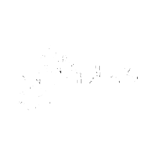 COC(=O)/C=C/CNC(=O)CNC(=O)CN(C(=O)C1CC1)C1CCN([C@H](C)c2cccc3ccccc23)CC1